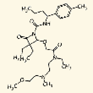 CCCC(NC(=O)N1C(=O)C(CC)(CC)C1OCC(=O)N(CC)CCN(C)CCOC)c1ccc(C)cc1